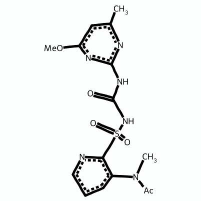 COc1cc(C)nc(NC(=O)NS(=O)(=O)c2ncccc2N(C)C(C)=O)n1